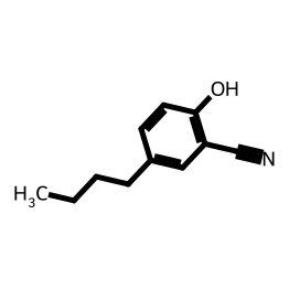 CCCCc1ccc(O)c(C#N)c1